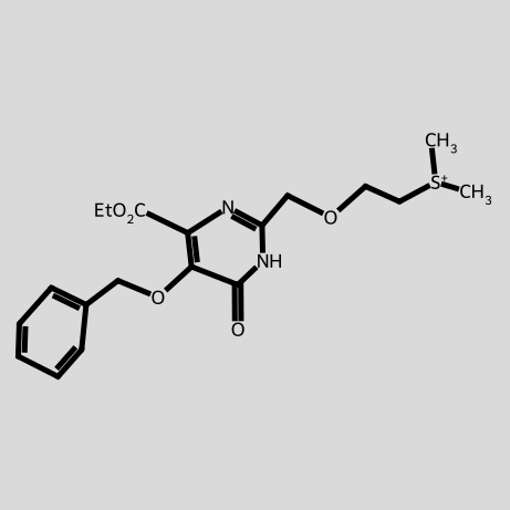 CCOC(=O)c1nc(COCC[S+](C)C)[nH]c(=O)c1OCc1ccccc1